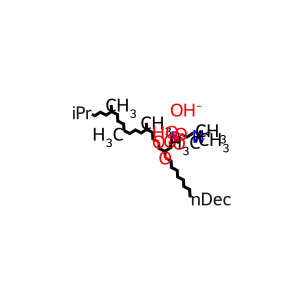 CCCCCCCCCCCCCCCCCCOC(COCCC(C)CCCC(C)CCCC(C)CCCC(C)C)COP(=O)(O)OCC[N+](C)(C)C.[OH-]